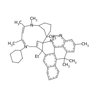 CCC12C3=CC1([n+]1cnc4cc(C)cc5c4c1-c1c2cc2ccccc2c1C5(C)C)C1(C)CCCC(C1)N(C)/C(C)=C\C(C)=[N+]/3C1CCCCC1